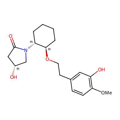 COc1ccc(CCO[C@@H]2CCCC[C@H]2N2C[C@H](O)CC2=O)cc1O